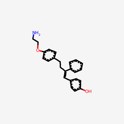 NCCOc1ccc(CCC(=Cc2ccc(O)cc2)c2ccccc2)cc1